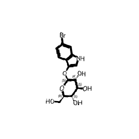 OC[C@H]1O[C@@H](Oc2c[nH]c3cc(Br)ccc23)[C@H](O)[C@@H](O)[C@@H]1O